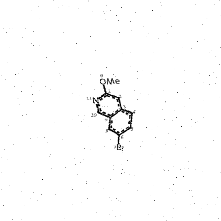 COc1cc2ccc(Br)cc2cn1